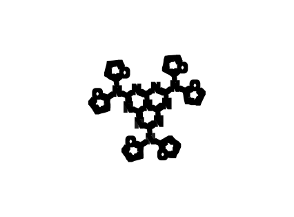 c1coc(N(C2=NC3=NC(N(c4ccco4)c4ccco4)=NC4=NC(N(c5ccco5)c5ccco5)=NC(=N2)N34)c2ccco2)c1